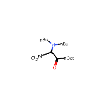 CCCCCCCCC(=O)C(N(CCCC)CCCC)[N+](=O)[O-]